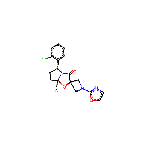 O=C1N2[C@@H](CC[C@H]2c2ccccc2F)OC12CN(c1ncco1)C2